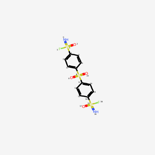 N=S(=O)(F)c1ccc(S(=O)(=O)c2ccc(S(=N)(=O)F)cc2)cc1